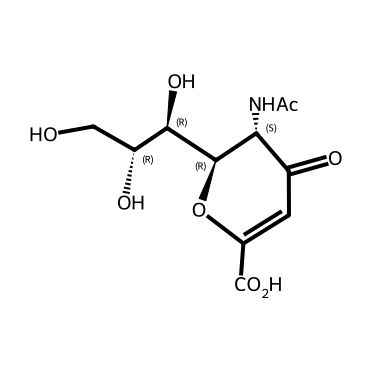 CC(=O)N[C@@H]1C(=O)C=C(C(=O)O)O[C@H]1[C@H](O)[C@H](O)CO